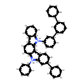 c1ccc(-c2cccc(-c3cccc(-n4c5ccccc5c5ccc6c(c7ccc(-c8ccccc8)cc7n6-c6ccccc6)c54)c3)c2)cc1